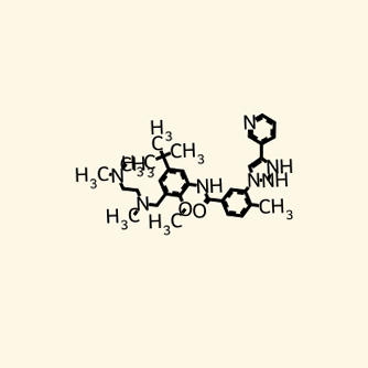 COc1c(CN(C)CCN(C)C)cc(C(C)(C)C)cc1NC(=O)c1ccc(C)c(N2C=C(c3cccnc3)NN2)c1